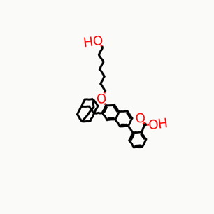 O=C(O)c1ccccc1-c1ccc2cc(OCCCCCCCO)c(C34CC5CC(CC(C5)C3)C4)cc2c1